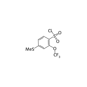 CSc1ccc(S(=O)(=O)Cl)c(OC(F)(F)F)c1